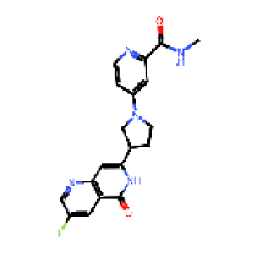 CNC(=O)c1cc(N2CCC(c3cc4ncc(F)cc4c(=O)[nH]3)C2)ccn1